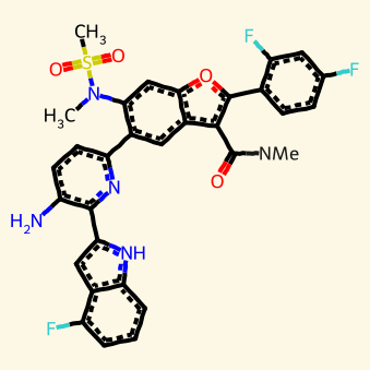 CNC(=O)c1c(-c2ccc(F)cc2F)oc2cc(N(C)S(C)(=O)=O)c(-c3ccc(N)c(-c4cc5c(F)cccc5[nH]4)n3)cc12